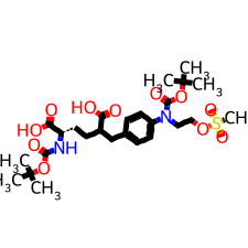 CC(C)(C)OC(=O)N[C@@H](CCC(Cc1ccc(N(CCOS(C)(=O)=O)C(=O)OC(C)(C)C)cc1)C(=O)O)C(=O)O